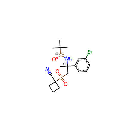 CC(C)(C)[S@@+]([O-])N[C@@](C)(CS(=O)(=O)C1(C#N)CCC1)c1cccc(Br)c1